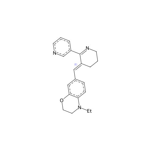 CCN1CCOc2cc(/C=C3\CCCN=C3c3cccnc3)ccc21